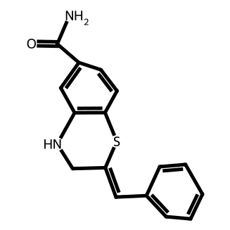 NC(=O)c1ccc2c(c1)NC/C(=C/c1ccccc1)S2